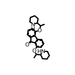 CC(Oc1cccc2c1C(=O)c1cccc(OC(C)C3CCCCN3)c1-2)C1CCCCN1